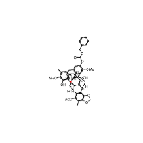 COc1cc2c(cc1OC(=O)OCc1ccccc1)CCN[C@]21CS[C@@H]2c3c(OC(C)=O)c(C)c4c(c3[C@H](COC1=O)N1C2C2c3c(cc(C)c(OC)c3O)C[C@@H]([C@@H]1O)N2C)OCO4